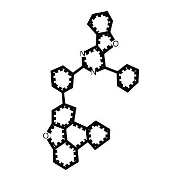 c1ccc(-c2nc(-c3cccc(-c4cc5oc6cccc7c8ccccc8c(c4)c5c67)c3)nc3c2oc2ccccc23)cc1